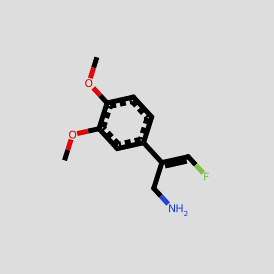 COc1ccc(/C(=C/F)CN)cc1OC